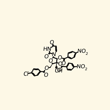 C#C[C@@]1(OC(=O)c2ccc([N+](=O)[O-])cc2)[C@@H](COC(=O)c2ccc(Cl)cc2)O[C@@H](n2ccc(=O)[nH]c2=O)[C@@H]1OC(=O)c1ccc([N+](=O)[O-])cc1